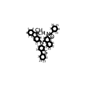 CC1(C)c2ccccc2-c2ccc(N(c3ccc4c(c3)sc3ccccc34)c3cc4nc(-c5ccccc5)oc4c4ccccc34)cc21